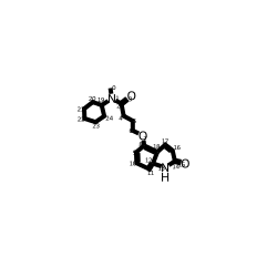 CN(C(=O)CCCOc1cccc2[nH]c(=O)ccc12)C1CCCCC1